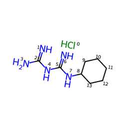 Cl.N=C(N)NC(=N)NC1CCCCC1